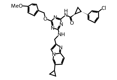 COc1ccc(COc2nc(NCc3cn4cc(C5CC5)ccc4n3)nc(NC(=O)[C@H]3C[C@@H]3c3cccc(Cl)c3)n2)cc1